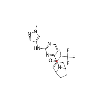 CC(C(=O)N1C2C=C(c3ccnc(Nc4cnn(C)c4)n3)CC1CC2)C(F)(F)F